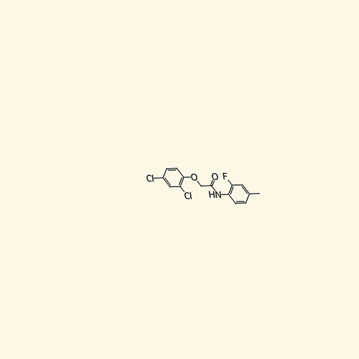 Cc1ccc(NC(=O)COc2ccc(Cl)cc2Cl)c(F)c1